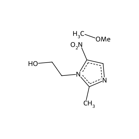 COC.Cc1ncc([N+](=O)[O-])n1CCO